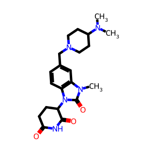 CN(C)C1CCN(Cc2ccc3c(c2)n(C)c(=O)n3C2CCC(=O)NC2=O)CC1